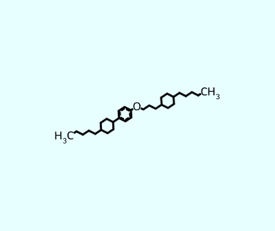 CCCCCC1CCC(CCCOc2ccc(C3CCC(CCCCC)CC3)cc2)CC1